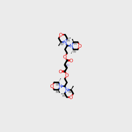 C[C@H]1COC[C@H](C)N1C(CCOC(=O)/C=C/C(=O)OCCC(N1[C@@H](C)COC[C@@H]1C)N1[C@@H](C)COC[C@@H]1C)N1[C@@H](C)COC[C@@H]1C